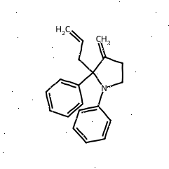 C=CCC1(c2ccccc2)C(=C)CCN1c1ccccc1